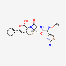 CON=C(C(=O)NC1C(=O)N2C(C(=O)O)=C(C=Cc3ccccc3)CS[C@@H]12)c1csc(N)n1